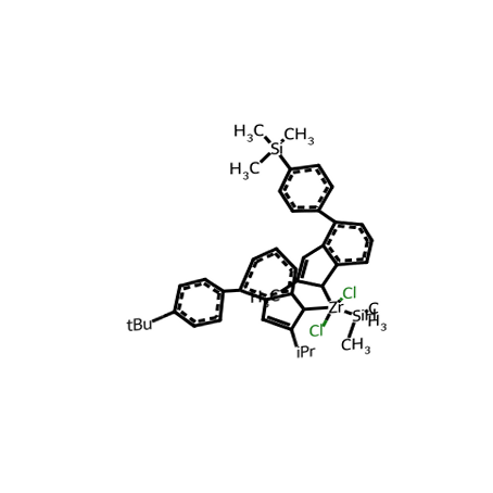 CC1=Cc2c(-c3ccc([Si](C)(C)C)cc3)cccc2[CH]1[Zr]([Cl])([Cl])([CH]1C(C(C)C)=Cc2c(-c3ccc(C(C)(C)C)cc3)cccc21)[SiH](C)C